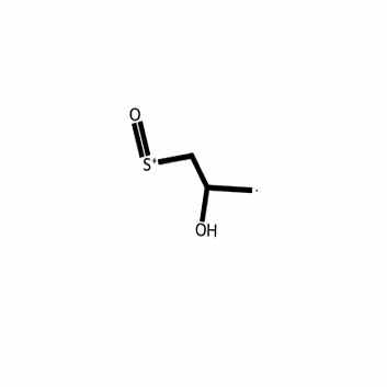 [CH2]C(O)C[S+]=O